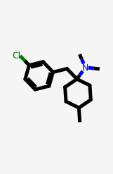 CC1CCC(Cc2cccc(Cl)c2)(N(C)C)CC1